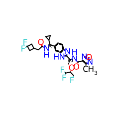 Cc1nonc1C(=O)N[C@@H](COC(CF)C(F)F)c1nc2ccc([C@H](NC(=O)CC3CC(F)(F)C3)C3CC3)cc2[nH]1